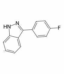 Fc1ccc(-c2n[nH]c3c[c]ccc23)cc1